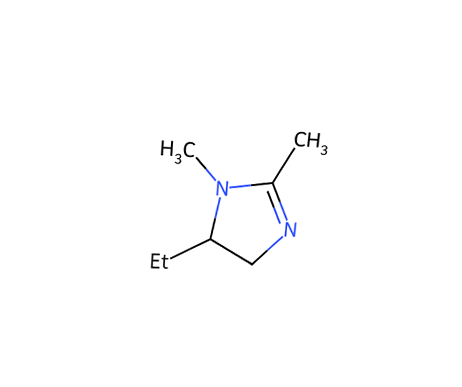 CCC1CN=C(C)N1C